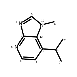 CC(C)c1ccnc2ncn(C)c12